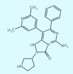 Cc1cc(-c2c(-c3ccccc3)nc(N)[n+]3c(=O)n(C4CCNC4)[nH]c23)cc(C)n1